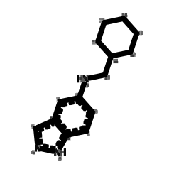 c1cc2[nH]ncc2cc1NCC1CCCCC1